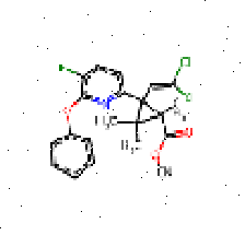 CC1(C)C(C)(C(=O)OC#N)C1(C=C(Cl)Cl)c1ccc(F)c(Oc2ccccc2)n1